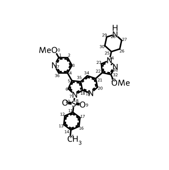 COc1ccc(-c2cn(S(=O)(=O)c3ccc(C)cc3)c3ncc(-c4cn(C5CCNCC5)nc4OC)cc23)cn1